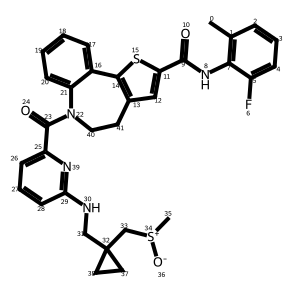 Cc1cccc(F)c1NC(=O)c1cc2c(s1)-c1ccccc1N(C(=O)c1cccc(NCC3(C[S+](C)[O-])CC3)n1)CC2